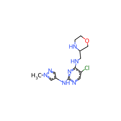 Cn1cc(Nc2ncc(Cl)c(NCC3COCCN3)n2)cn1